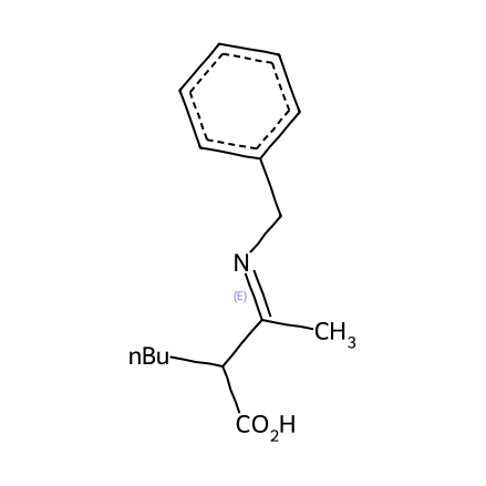 CCCCC(C(=O)O)/C(C)=N/Cc1ccccc1